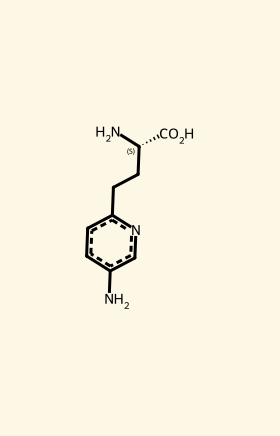 Nc1ccc(CC[C@H](N)C(=O)O)nc1